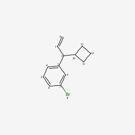 C=CC(c1cccc(Br)c1)C1CCC1